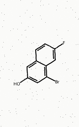 Oc1cc(Br)c2cc(F)ccc2c1